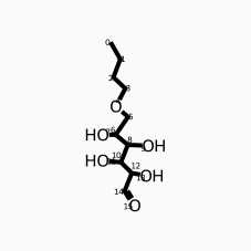 CCCCOCC(O)C(O)C(O)C(O)C=O